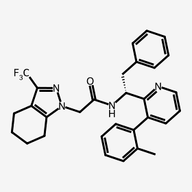 Cc1ccccc1-c1cccnc1[C@@H](Cc1ccccc1)NC(=O)Cn1nc(C(F)(F)F)c2c1CCCC2